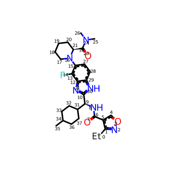 CCc1nocc1C(=O)N[C@H](c1nc2c(F)c(N3CCCC[C@H]3C(=O)N(C)C)ccc2[nH]1)C1CCC(C)CC1